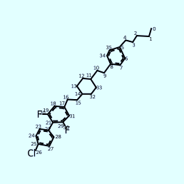 CCCCCc1ccc(CCC2CCC(CCc3cc(F)c(-c4ccc(Cl)cc4)c(F)c3)CC2)cc1